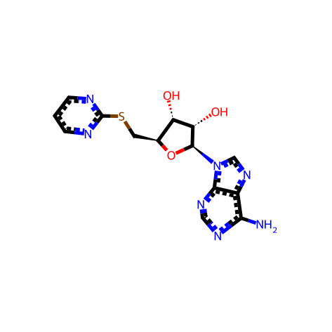 Nc1ncnc2c1ncn2[C@H]1O[C@@H](CSc2ncccn2)[C@H](O)[C@@H]1O